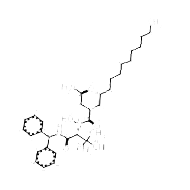 CCCCCCCCCCCC[C@H](CC(N)=O)C(=O)N(O)[C@H](C(=O)NC(c1ccccc1)c1ccccc1)C(C)(C)C